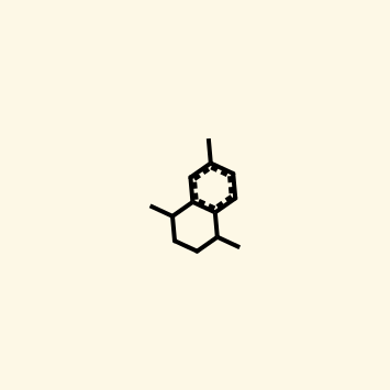 Cc1ccc2c(c1)C(C)CCC2C